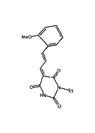 CCN1C(=O)NC(=O)/C(=C/C=C/c2ccccc2OC)C1=O